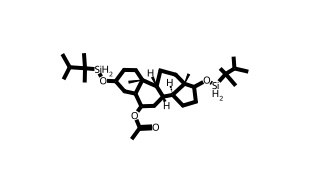 CC(=O)OC1C[C@@H]2[C@@H](CC[C@]3(C)C(O[SiH2]C(C)(C)C(C)C)CC[C@@H]23)[C@@]2(C)CCC(O[SiH2]C(C)(C)C(C)C)CC12